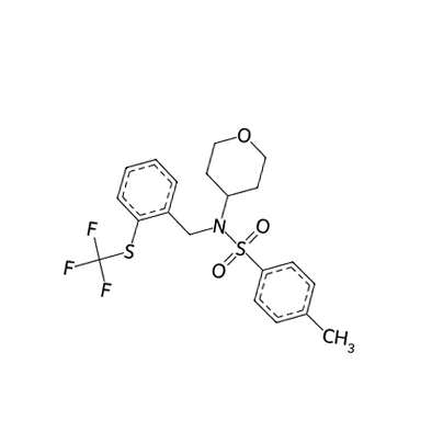 Cc1ccc(S(=O)(=O)N(Cc2ccccc2SC(F)(F)F)C2CCOCC2)cc1